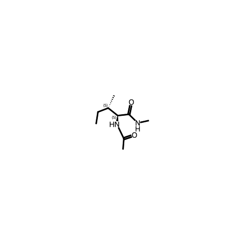 CC[C@H](C)[C@H](NC(C)=O)C(=O)NC